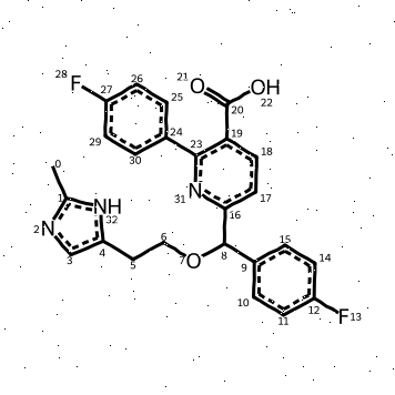 Cc1ncc(CCOC(c2ccc(F)cc2)c2ccc(C(=O)O)c(-c3ccc(F)cc3)n2)[nH]1